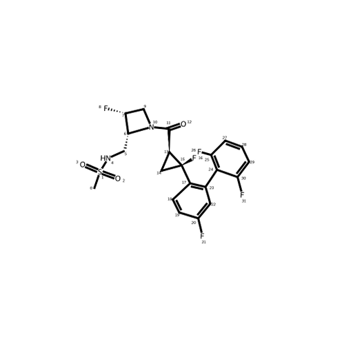 CS(=O)(=O)NC[C@@H]1[C@H](F)CN1C(=O)[C@@H]1C[C@@]1(F)c1ccc(F)cc1-c1c(F)cccc1F